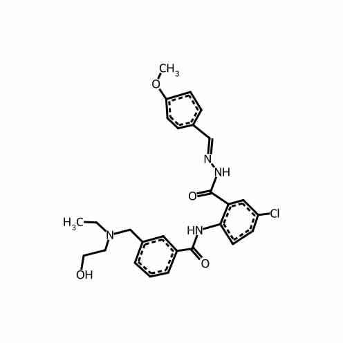 CCN(CCO)Cc1cccc(C(=O)Nc2ccc(Cl)cc2C(=O)NN=Cc2ccc(OC)cc2)c1